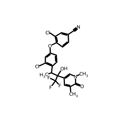 Cc1cc(C(O)(C(C)c2ccc(Oc3ccc(C#N)cc3Cl)cc2Cl)C(F)(F)F)cn(C)c1=O